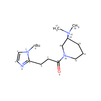 CCCCn1ccnc1CCC(=O)N1CCC[C@H](N(C)C)C1